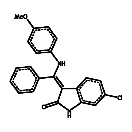 COc1ccc(NC(=C2C(=O)Nc3cc(Cl)ccc32)c2ccccc2)cc1